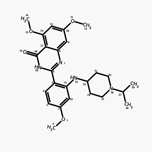 COc1ccc(-c2nc3cc(OC)cc(OC)c3c(=O)[nH]2)c(NC2CCN(C(C)C)CC2)c1